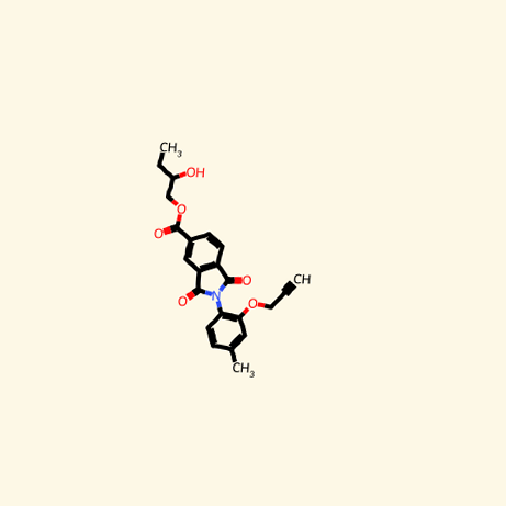 C#CCOc1cc(C)ccc1N1C(=O)c2ccc(C(=O)OCC(O)CC)cc2C1=O